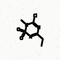 CCC1=NS(=O)(=O)N(C)C(Cl)=N1